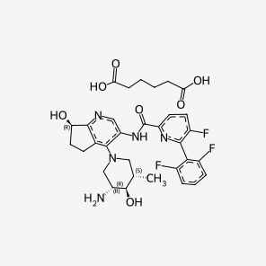 C[C@H]1CN(c2c(NC(=O)c3ccc(F)c(-c4c(F)cccc4F)n3)cnc3c2CC[C@H]3O)C[C@@H](N)[C@@H]1O.O=C(O)CCCCC(=O)O